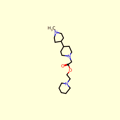 CN1CCC(C2CCN(CC(=O)OCCN3CCCCC3)CC2)CC1